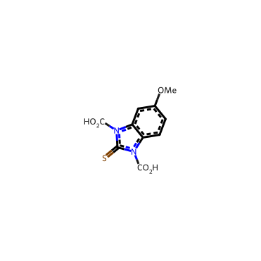 COc1ccc2c(c1)n(C(=O)O)c(=S)n2C(=O)O